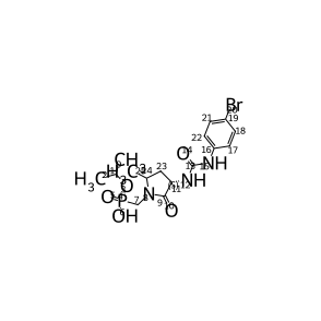 CC(C)OP(=O)(O)CN1C(=O)[C@@H](NC(=O)Nc2ccc(Br)cc2)CC1C